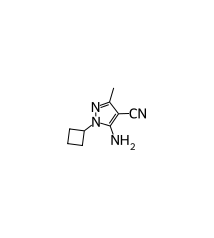 Cc1nn(C2CCC2)c(N)c1C#N